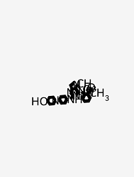 Cn1ccc2nc(Nc3ccc(N4CCC(O)CC4)cc3)nc(Nc3ccccc3P(C)(C)=O)c21